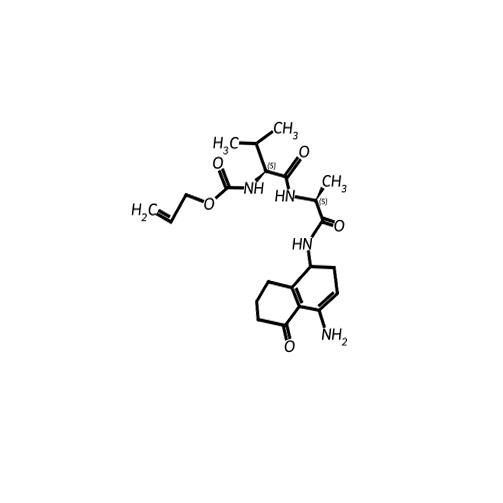 C=CCOC(=O)N[C@H](C(=O)N[C@@H](C)C(=O)NC1CC=C(N)C2=C1CCCC2=O)C(C)C